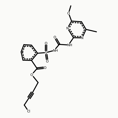 COc1cc(C)nc(NC(=O)NS(=O)(=O)c2ccccc2C(=O)OCC#CCCl)n1